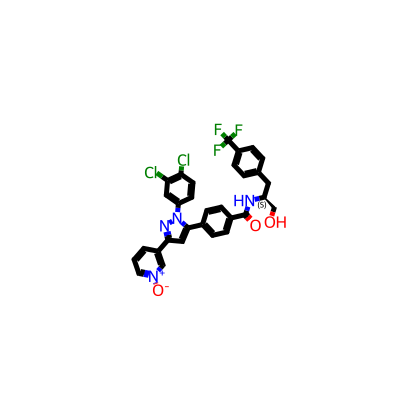 O=C(N[C@H](CO)Cc1ccc(C(F)(F)F)cc1)c1ccc(-c2cc(-c3ccc[n+]([O-])c3)nn2-c2ccc(Cl)c(Cl)c2)cc1